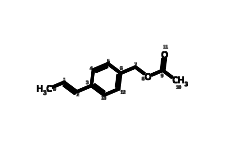 C/C=C/c1ccc(COC(C)=O)cc1